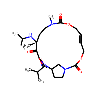 CC(C)N[C@]1(C)CCN(C)C(=O)OC/C=C/COC(=O)N2CC[C@](C(=O)C(C)C)(C2)NCC1=O